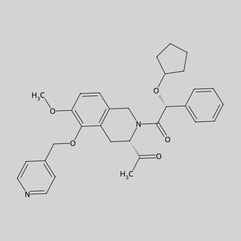 COc1ccc2c(c1OCc1ccncc1)C[C@@H](C(C)=O)N(C(=O)[C@H](OC1CCCC1)c1ccccc1)C2